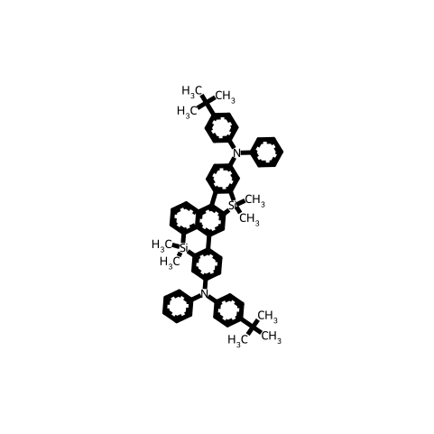 CC(C)(C)c1ccc(N(c2ccccc2)c2ccc3c(c2)[Si](C)(C)c2cc4c5c(cccc5c2-3)[Si](C)(C)c2cc(N(c3ccccc3)c3ccc(C(C)(C)C)cc3)ccc2-4)cc1